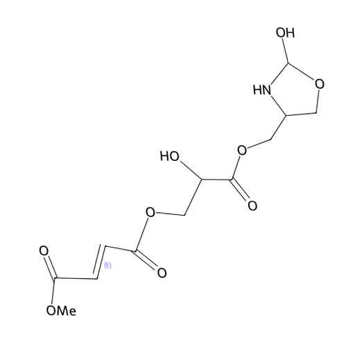 COC(=O)/C=C/C(=O)OCC(O)C(=O)OCC1COC(O)N1